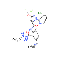 CO/N=C/c1cc(C)c(NC(=O)c2cc(OC(F)F)nn2-c2ncccc2Cl)c(C(=O)NNC(=O)O)c1